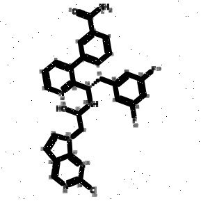 NC(=O)c1cccc(-c2cccnc2[C@H](Cc2cc(F)cc(F)c2)NC(O)Cn2ccc3cnc(Cl)nc32)c1